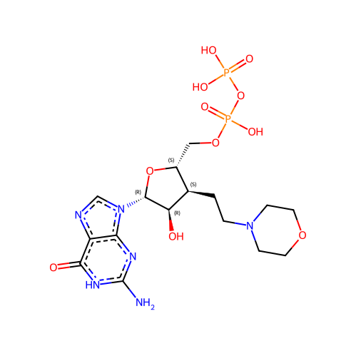 Nc1nc2c(ncn2[C@@H]2O[C@H](COP(=O)(O)OP(=O)(O)O)[C@@H](CCN3CCOCC3)[C@H]2O)c(=O)[nH]1